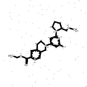 CCOC(=O)c1cc2c(cn1)CN(c1cc(F)nc(N3CCCC3COC)c1)CC2